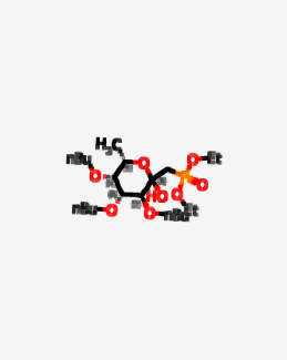 CCCCO[C@@H]1[C@H](OCCCC)[C@H](C)O[C@](O)(CP(=O)(OCC)OCC)[C@H]1OCCCC